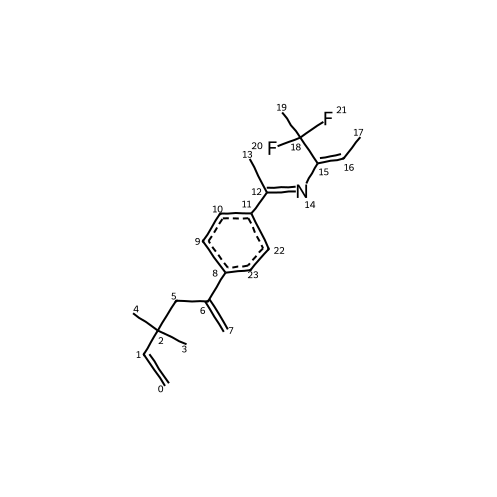 C=CC(C)(C)CC(=C)c1ccc(/C(C)=N/C(=CC)C(C)(F)F)cc1